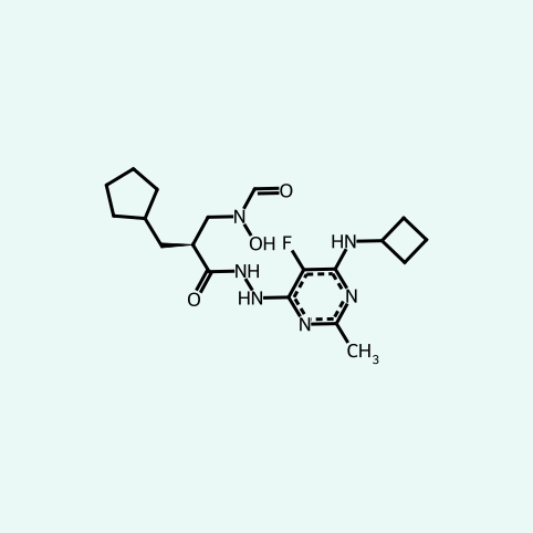 Cc1nc(NNC(=O)[C@@H](CC2CCCC2)CN(O)C=O)c(F)c(NC2CCC2)n1